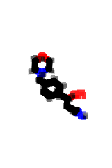 N#CCC(O)c1ccc(CN2CCOCC2)cc1